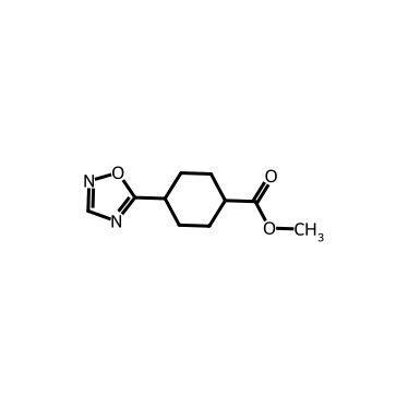 COC(=O)C1CCC(c2ncno2)CC1